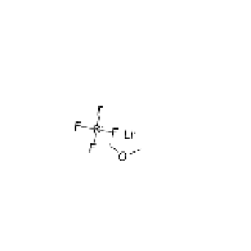 COC.F[B-](F)(F)F.[Li+]